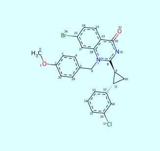 COc1ccc(Cn2c([C@H]3C[C@@H]3c3cccc(Cl)c3)nc(=O)c3ccc(Br)cc32)cc1